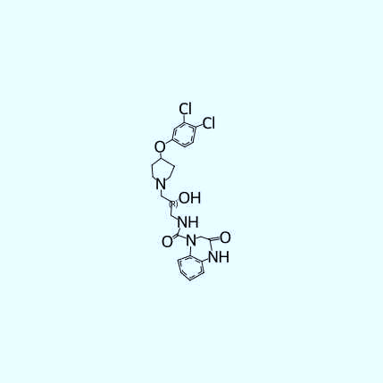 O=C1CN(C(=O)NC[C@@H](O)CN2CCC(Oc3ccc(Cl)c(Cl)c3)CC2)c2ccccc2N1